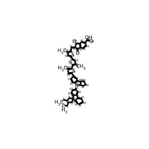 CCCCC1(CCCC)c2ccccc2-c2cc(N3c4ccc(-c5cc(C)c(-c6sc(-c7cc(C)c(/C=C8\C(=O)c9ccc(C(=O)O)cc9C8=O)s7)cc6C)s5)cc4C4CCCC43)ccc21